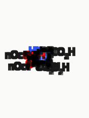 CCCCCCCCOCC(O)C(COCCCCCCCC)[N+]1(CC(=O)O)CCNCCN(CC(=O)O)CCN(CC(=O)O)CC1